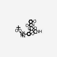 COc1cc(C(=O)C2C(=O)c3cc(-c4nnn(COC(=O)C(C)(C)C)n4)ccc3OC23CCNCC3)nc2c(OC)cccc12